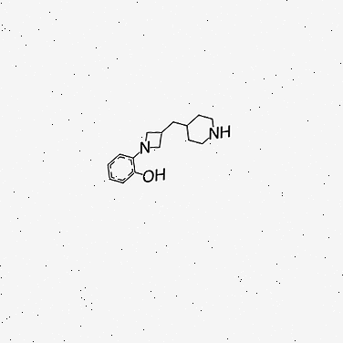 Oc1ccccc1N1CC(CC2CCNCC2)C1